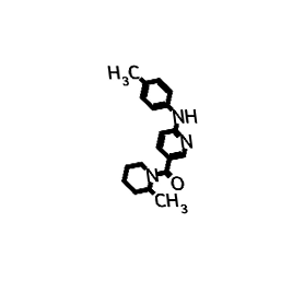 Cc1ccc(Nc2ccc(C(=O)N3CCCCC3C)cn2)cc1